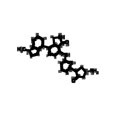 Cn1ccc2c(-c3ncc(Nc4cccc(C5C[C@H](N)CC5=O)n4)c4c3CNC4=O)ccnc21